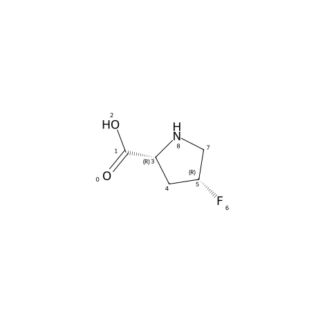 O=C(O)[C@H]1C[C@@H](F)CN1